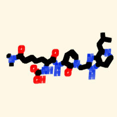 CC(C)Cc1nccc2[nH]c(Cn3cccc(NC(=O)C(CC/C=C/C(=O)N(C)C)NC(=O)O)c3=O)nc12